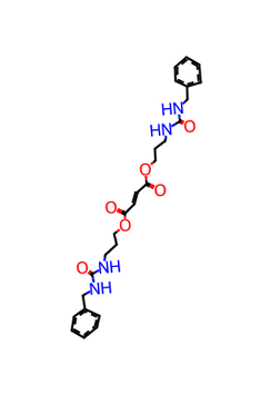 O=C(NCCCOC(=O)/C=C/C(=O)OCCCNC(=O)NCc1ccccc1)NCc1ccccc1